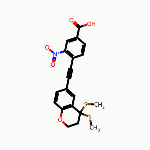 CSC1(SC)CCOc2ccc(C#Cc3ccc(C(=O)O)cc3[N+](=O)[O-])cc21